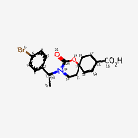 C[C@@H](c1ccc(Br)cc1)N1CCC2(CCC(C(=O)O)CC2)OC1=O